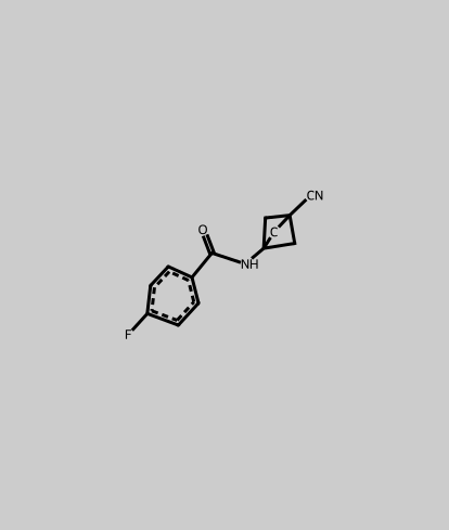 N#CC12CC(NC(=O)c3ccc(F)cc3)(C1)C2